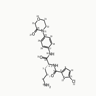 NCCC[C@@H](NC(=O)c1ccc(Cl)s1)C(=O)Nc1ccc(N2CCOCC2=O)cc1